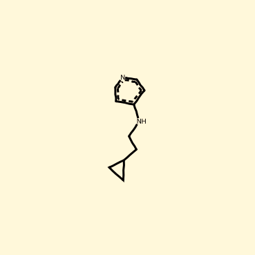 c1cc(NCCC2CC2)ccn1